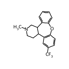 CN1CCC2c3cc(C(F)(F)F)ccc3Oc3ccccc3C2C1